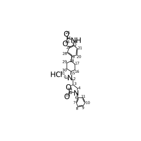 CN(CC1CN(c2ccccc2)C(=O)O1)C1CCC(c2ccc3[nH]c(=O)oc3c2)CC1.Cl